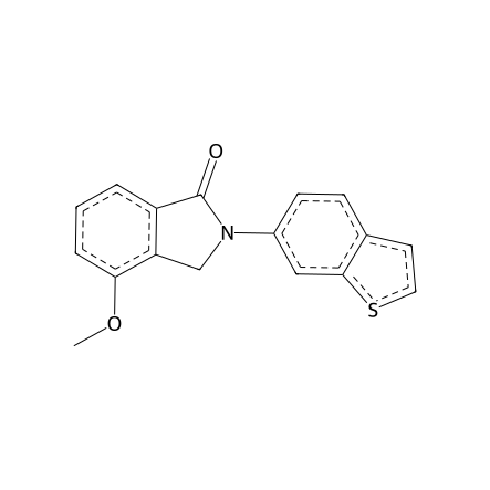 COc1cccc2c1CN(c1ccc3ccsc3c1)C2=O